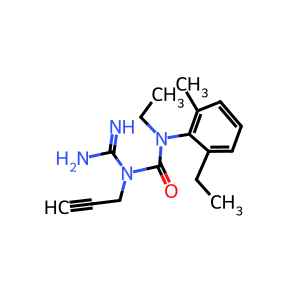 C#CCN(C(=N)N)C(=O)N(CC)c1c(C)cccc1CC